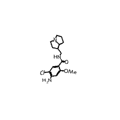 COc1cc(N)c(Cl)cc1C(=O)NCC1CCN2CCCC12